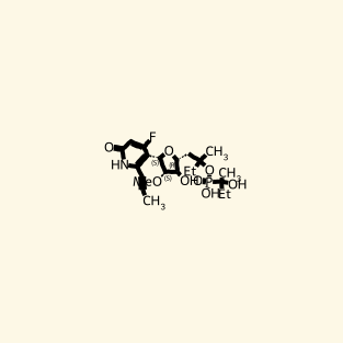 CC#Cc1[nH]c(=O)cc(F)c1[C@@H]1O[C@H](CC(C)(CC)OP(=O)(O)C(C)(O)CC)C(O)[C@@H]1OC